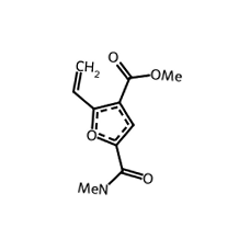 C=Cc1oc(C(=O)NC)cc1C(=O)OC